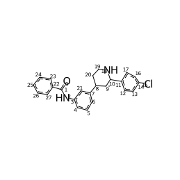 O=C(Nc1cccc(C2[CH]C(c3ccc(Cl)cc3)NCC2)c1)c1ccccc1